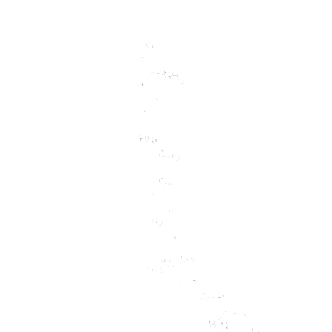 NC(C=O)CCCCNC(=O)COCCOCCS(=O)(=O)CCSCC(N)C=O